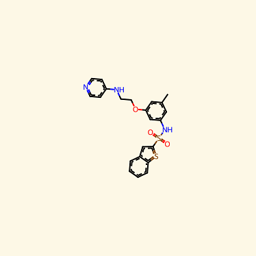 Cc1cc(NS(=O)(=O)c2cc3ccccc3s2)cc(OCCNc2ccncc2)c1